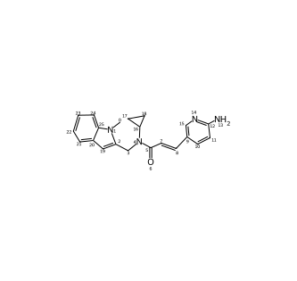 Cn1c(CN(C(=O)C=Cc2ccc(N)nc2)C2CC2)cc2ccccc21